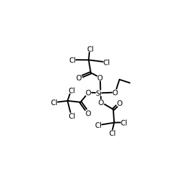 CCO[Si](OC(=O)C(Cl)(Cl)Cl)(OC(=O)C(Cl)(Cl)Cl)OC(=O)C(Cl)(Cl)Cl